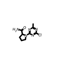 Cc1nc(Cl)nc(N2CCCC2C(N)=O)n1